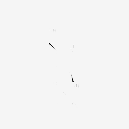 CC[C@@H]1C[C@H](NS(=O)(=O)C2CC2)CN1